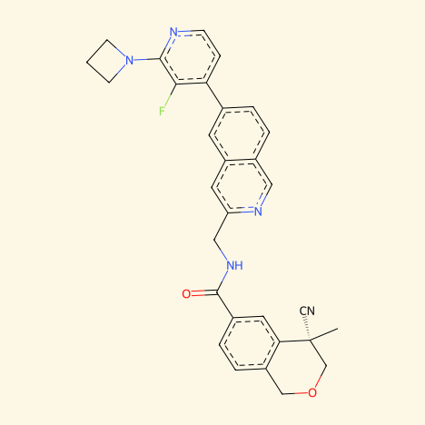 C[C@@]1(C#N)COCc2ccc(C(=O)NCc3cc4cc(-c5ccnc(N6CCC6)c5F)ccc4cn3)cc21